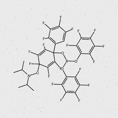 C[CH](C)[Al]([O]C1(F)C(F)=C(F)C(OB(Oc2c(F)c(F)c(F)c(F)c2F)Oc2c(F)c(F)c(F)c(F)c2F)(c2cc(F)c(F)c(F)c2F)C(F)=C1F)[CH](C)C